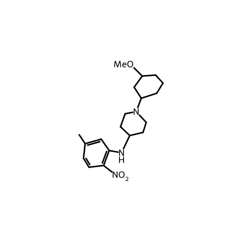 COC1CCCC(N2CCC(Nc3cc(C)ccc3[N+](=O)[O-])CC2)C1